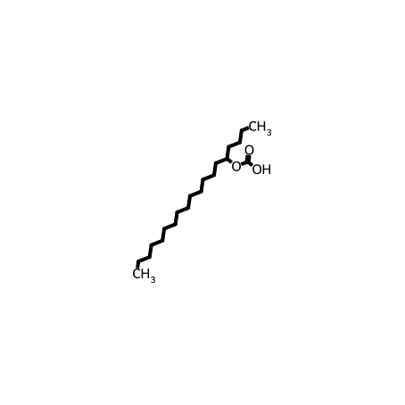 CCCCCCCCCCCCCCC(CCCC)OC(=O)O